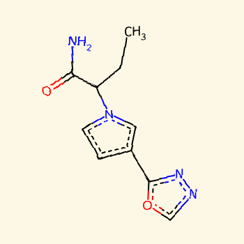 CCC(C(N)=O)n1ccc(-c2nnco2)c1